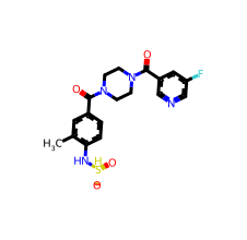 Cc1cc(C(=O)N2CCN(C(=O)c3cncc(F)c3)CC2)ccc1N[SH](=O)=O